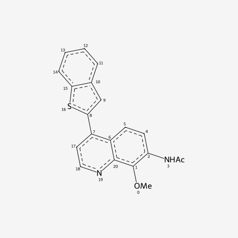 COc1c(NC(C)=O)ccc2c(-c3cc4ccccc4s3)ccnc12